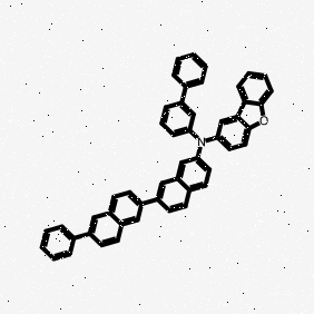 c1ccc(-c2cccc(N(c3ccc4ccc(-c5ccc6cc(-c7ccccc7)ccc6c5)cc4c3)c3ccc4oc5ccccc5c4c3)c2)cc1